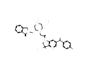 C[C@@H]1CN(CC(=O)N2CC(C)(C)c3ncc(C(O)c4ccc(F)cc4)cc32)[C@@H](CN2Cc3ccccc3C2=O)CN1